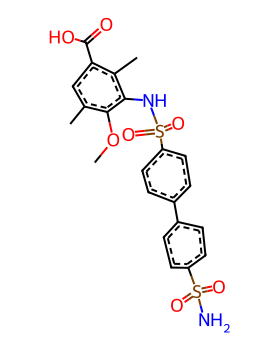 COc1c(C)cc(C(=O)O)c(C)c1NS(=O)(=O)c1ccc(-c2ccc(S(N)(=O)=O)cc2)cc1